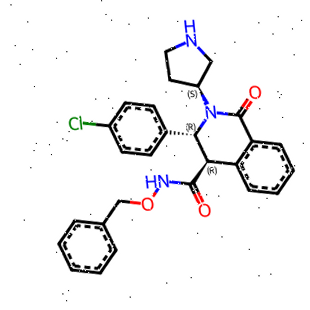 O=C(NOCc1ccccc1)[C@@H]1c2ccccc2C(=O)N([C@H]2CCNC2)[C@H]1c1ccc(Cl)cc1